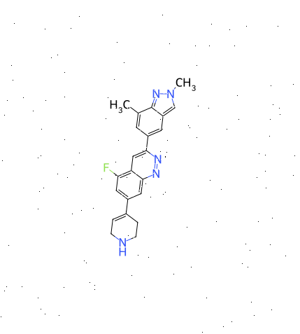 Cc1cc(-c2cc3c(F)cc(C4=CCNCC4)cc3nn2)cc2cn(C)nc12